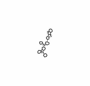 c1ccc(N(c2cccc(-c3ccc4c(c3)sc3c5ccccc5sc43)c2)c2ccc3c(c2)c2ccccc2n3-c2ccccc2)cc1